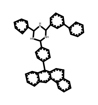 c1ccc(-c2cccc(C3NC(c4ccccc4)NC(c4ccc(-c5c6ccccc6cc6c5ccc5ccccc56)cc4)N3)c2)cc1